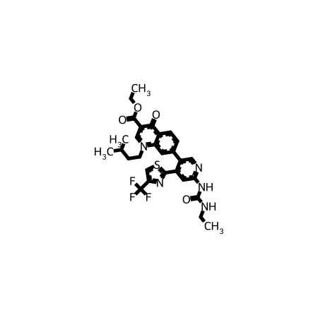 CCNC(=O)Nc1cc(-c2nc(C(F)(F)F)cs2)c(-c2ccc3c(=O)c(C(=O)OCC)cn(CCC(C)C)c3c2)cn1